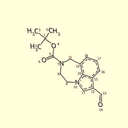 CC(C)(C)OC(=O)N1CCn2cc(C=O)c3cccc(c32)C1